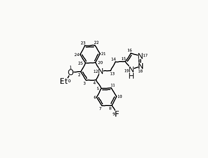 CCOC1=CC(c2ccc(F)cc2)N(CCc2cnn[nH]2)c2ccccc21